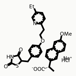 CCc1ccc(CCOc2ccc(CC3SC(=O)NC3=O)cc2)nc1.COc1ccc2cc([C@H](C)C(=O)[O-])ccc2c1.Cl.[Na+]